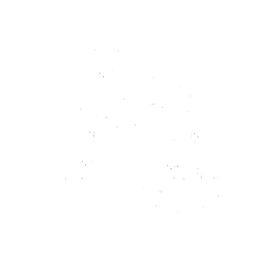 C1=CSC(c2ccc3c(c2)C(c2ccc(-c4ccc5ccc6cccnc6c5n4)cc2)(c2ccc(-c4ccc5ccc6cccnc6c5n4)cc2)c2cc(C4=NCCS4)ccc2-3)N1